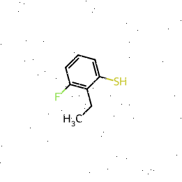 CCc1c(F)cccc1S